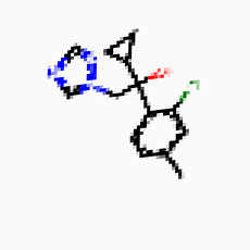 Cc1ccc(C(O)(Cn2cncn2)C2CC2)c(Cl)c1